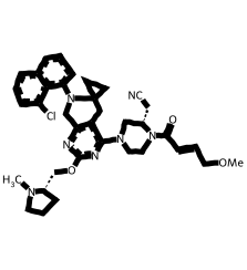 COC/C=C/C(=O)N1CCN(c2nc(OC[C@@H]3CCCN3C)nc3c2CC2(CC2)N(c2cccc4cccc(Cl)c24)C3)C[C@@H]1CC#N